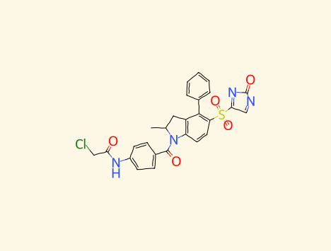 CC1Cc2c(ccc(S(=O)(=O)C3=NC(=O)N=C3)c2-c2ccccc2)N1C(=O)c1ccc(NC(=O)CCl)cc1